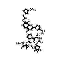 C=C[C@@H]1CC1(NC(=O)[C@@H]1C[C@@H](Oc2cc(C3CSC(NC(C)C)=N3)nc3c(Cl)c(OCCN4CC[C@@H](OC)C4)ccc23)CN1C(=O)[C@@H](NC(=O)O[C@@H]1C[C@@H]2C[C@@H]2C1)C(C)(C)C)C(=O)OC